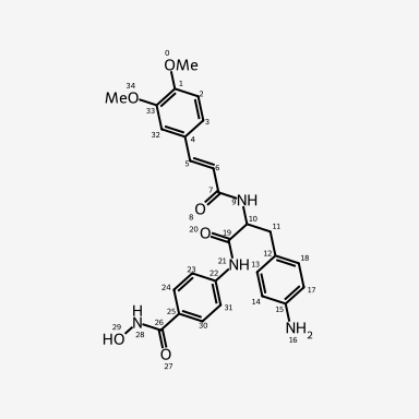 COc1ccc(/C=C/C(=O)NC(Cc2ccc(N)cc2)C(=O)Nc2ccc(C(=O)NO)cc2)cc1OC